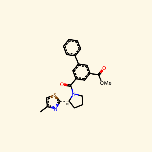 COC(=O)c1cc(C(=O)N2CCC[C@@H]2c2nc(C)cs2)cc(-c2ccccc2)c1